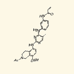 C=CC(=O)Nc1cccc(Nc2nc(Nc3ccc(OC)c4c3CCN(C(C)=O)C4)ncc2C)c1